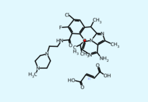 Cc1nc(C(C)c2cc(Cl)c(F)c(C(=O)NCCN3CCN(C)CC3)c2OC(C)C)n2ccnc(N)c12.O=C(O)/C=C/C(=O)O